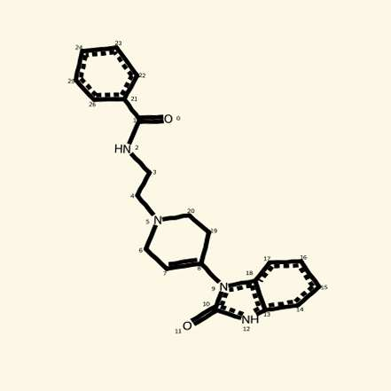 O=C(NCCN1CC=C(n2c(=O)[nH]c3ccccc32)CC1)c1ccccc1